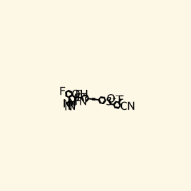 N#Cc1ccc(C[S+]([O-])c2ccc(C#Cc3ccc(C(F)(F)C4(O)Cn5nnnc5-c5cc(F)ccc54)nc3)cc2)cc1F